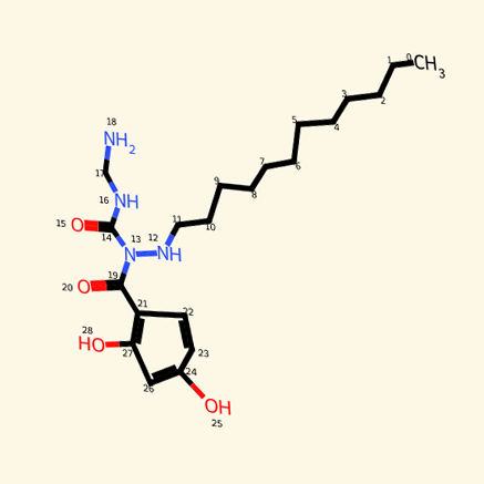 CCCCCCCCCCCCNN(C(=O)NCN)C(=O)c1ccc(O)cc1O